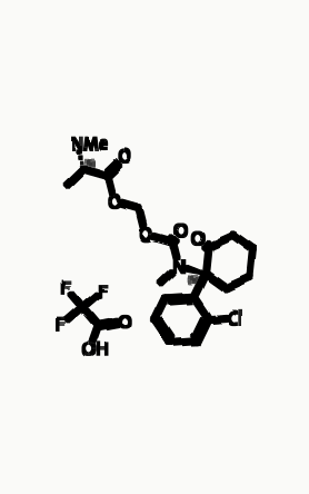 CN[C@@H](C)C(=O)OCOC(=O)N(C)[C@]1(c2ccccc2Cl)CCCCC1=O.O=C(O)C(F)(F)F